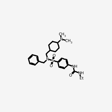 CCNC(=O)Nc1ccc(S(=O)(=O)N(Cc2ccccc2)CC2CCC(N(C)C)CC2)cc1